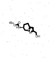 CC(C)(C)OC(=O)N[C@H]1CCc2cc(CO)nn2C1